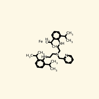 CC(C)c1cccc(C(C)C)c1NCCN(CCNc1c(C(C)C)cccc1C(C)C)Cc1ccccn1.[Fe]